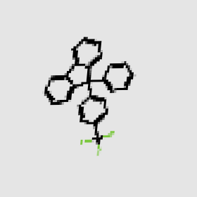 FC(F)(F)c1ccc(C2(c3cc[c]cc3)c3ccccc3-c3ccccc32)cc1